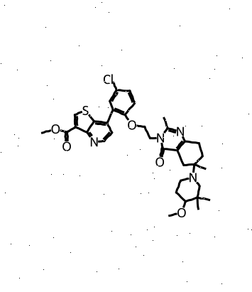 COC(=O)c1csc2c(-c3cc(Cl)ccc3OCCn3c(C)nc4c(c3=O)CC(C)(N3CCC(OC)C(C)(C)C3)CC4)ccnc12